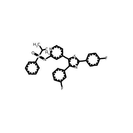 CC(C)S(=O)(=Nc1cc(-c2sc(-c3ccc(F)cc3)nc2-c2cccc(F)c2)ccn1)c1ccccc1